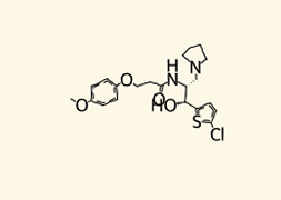 COc1ccc(OCCC(=O)N[C@H](CN2CCCC2)[C@H](O)c2ccc(Cl)s2)cc1